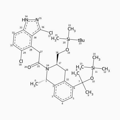 C[C@H]1c2cccc(C(C)(C)O[Si](C)(C)C)c2C[C@H](CO[Si](C)(C)C(C)(C)C)N1C(=O)Cc1c(Cl)ccc2[nH]nc(Cl)c12